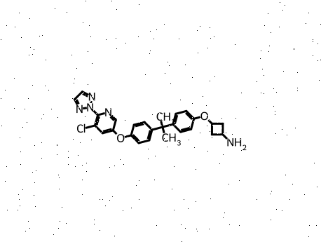 CC(C)(c1ccc(Oc2cnc(-n3nccn3)c(Cl)c2)cc1)c1ccc(OC2CC(N)C2)cc1